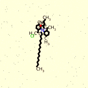 CCCCCCCCCCCCCCCCCC[N+](CC(CC)CCCC)(C1CC(C)CCC1C(C)C)C1CC(C)CCC1C(C)C.[Cl-]